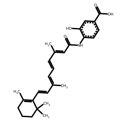 CC(C=CC1=C(C)CCCC1(C)C)=CC=CC(C)=CC(=O)Nc1ccc(C(=O)O)cc1O